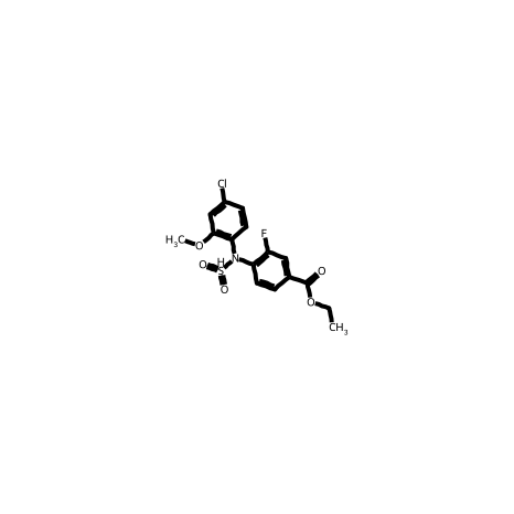 CCOC(=O)c1ccc(N(c2ccc(Cl)cc2OC)[SH](=O)=O)c(F)c1